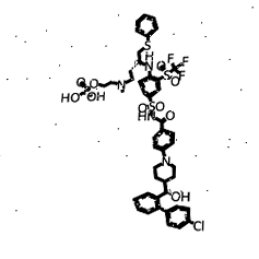 CN(CCOP(=O)(O)O)CC[C@H](CSc1ccccc1)Nc1ccc(S(=O)(=O)NC(=O)c2ccc(N3CCC([C@H](O)c4ccccc4-c4ccc(Cl)cc4)CC3)cc2)cc1S(=O)(=O)C(F)(F)F